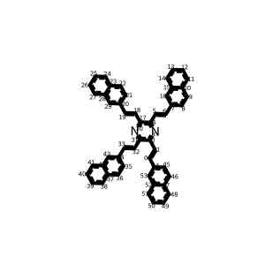 C(=Cc1nc(C=Cc2ccc3ccccc3c2)c(C=Cc2ccc3ccccc3c2)nc1C=Cc1ccc2ccccc2c1)c1ccc2ccccc2c1